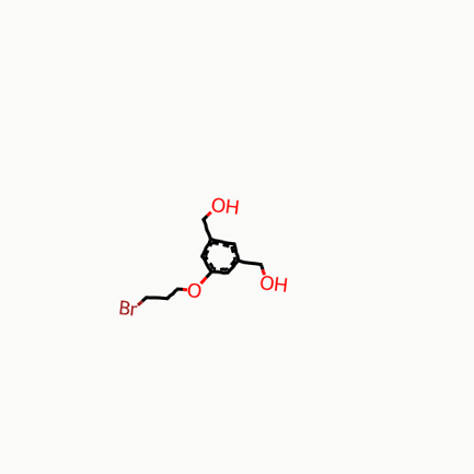 OCc1cc(CO)cc(OCCCBr)c1